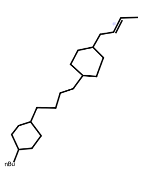 C/C=C/CC1CCC(CCCCC2CCC(CCCC)CC2)CC1